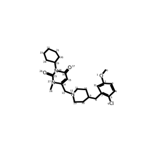 COc1ccc(Cl)c(CC2CCN(Cc3cc(=O)n(C4CCCCC4)c(=O)n3C)CC2)c1